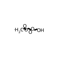 [CH2]C(=O)OCC(=O)OCCO